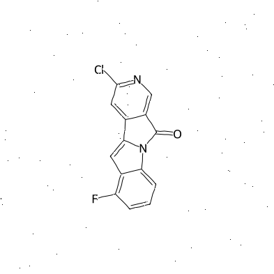 O=C1c2cnc(Cl)cc2-c2cc3c(F)cccc3n21